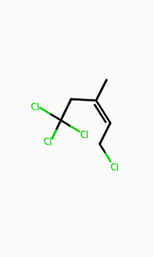 CC(=CCCl)CC(Cl)(Cl)Cl